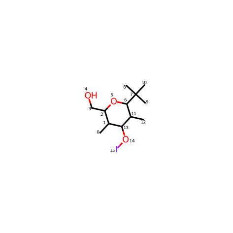 CC1C(CO)OC(C(C)(C)C)C(C)C1OI